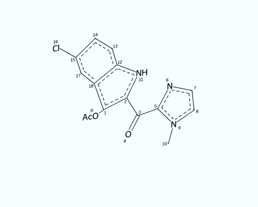 CC(=O)Oc1c(C(=O)c2nccn2C)[nH]c2ccc(Cl)cc12